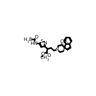 BC(=O)Nc1cc(C(CCN2CC[C@@]3(C=CC4C=CC=CC43)[C@@H](C)C2)C(=O)OC)ns1